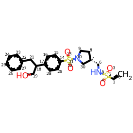 C=CS(=O)(=O)NC[C@H]1CCN(S(=O)(=O)c2ccc(C(CO)Cc3ccccc3)cc2)C1